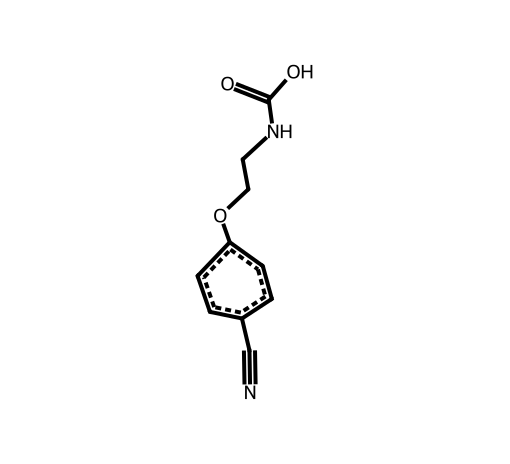 N#Cc1ccc(OCCNC(=O)O)cc1